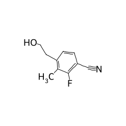 Cc1c(CCO)ccc(C#N)c1F